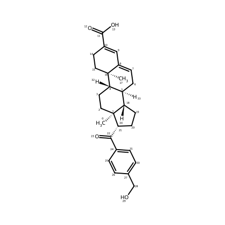 C[C@]12CC[C@H]3[C@@H](CC=C4C=C(C(=O)O)CC[C@@]43C)[C@@H]1CC[C@@H]2C(=O)c1ccc(CO)cc1